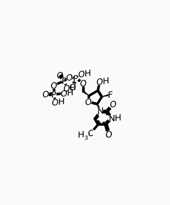 Cc1cn([C@H]2O[C@@H](COP(=O)(O)OP(=O)(O)OP(=O)(O)O)C(O)[C@H]2F)c(=O)[nH]c1=O